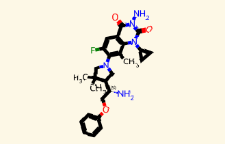 Cc1c(N2CC([C@H](N)COc3ccccc3)C(C)(C)C2)c(F)cc2c(=O)n(N)c(=O)n(C3CC3)c12